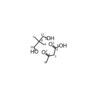 CC(=O)CC(=O)O.CC(C)(CO)CO